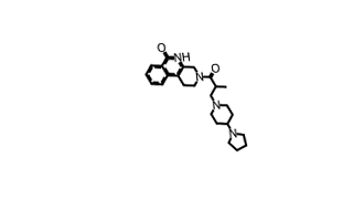 CC(CN1CCC(N2CCCC2)CC1)C(=O)N1CCc2c([nH]c(=O)c3ccccc23)C1